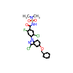 CN(C)S(=O)(=O)NC(=O)c1cc(Cl)c(-n2nc(Cl)c3cc(OCc4ccccc4)ccc32)cc1F